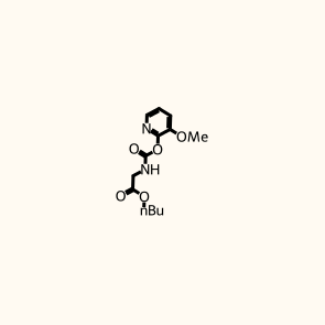 CCCCOC(=O)CNC(=O)Oc1ncccc1OC